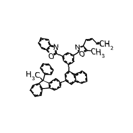 C=C/C=C\c1nc(-c2cc(-c3nc4ccccc4o3)cc(-c3cc(-c4ccc5c(c4)C(C)(c4ccccc4)c4ccccc4-5)cc4ccccc34)c2)oc1C